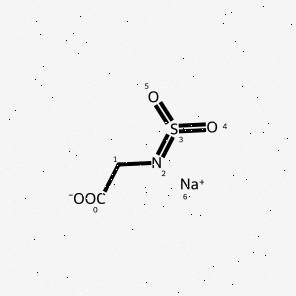 O=C([O-])CN=S(=O)=O.[Na+]